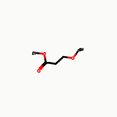 CCCCOCCC(=O)OCC